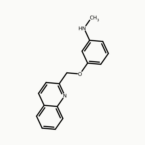 CNc1cccc(OCc2ccc3ccccc3n2)c1